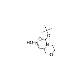 CC(C)(C)OC(=O)N1CCOCC1C=NO